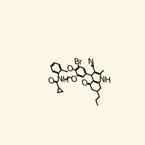 CCCC1CC(=O)C2=C(C1)NC(C)=C(C#N)C2c1cc(Br)c(OCc2ccccc2NC(=O)C2CC2)c(OCC)c1